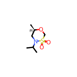 CC(C)N1C[C@@H](C)OCS1(=O)=O